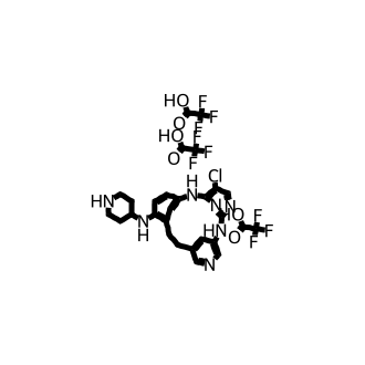 Clc1cnc2nc1Nc1ccc(NC3CCNCC3)c(c1)CCc1cncc(c1)N2.O=C(O)C(F)(F)F.O=C(O)C(F)(F)F.O=C(O)C(F)(F)F